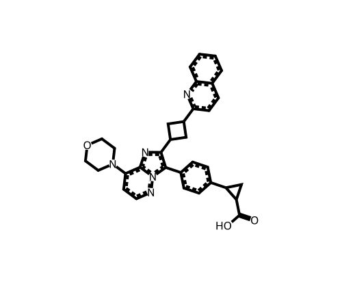 O=C(O)C1CC1c1ccc(-c2c(C3CC(c4ccc5ccccc5n4)C3)nc3c(N4CCOCC4)ccnn23)cc1